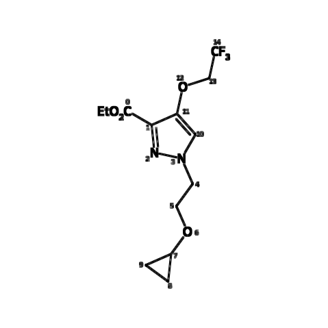 CCOC(=O)c1nn(CCOC2CC2)cc1OCC(F)(F)F